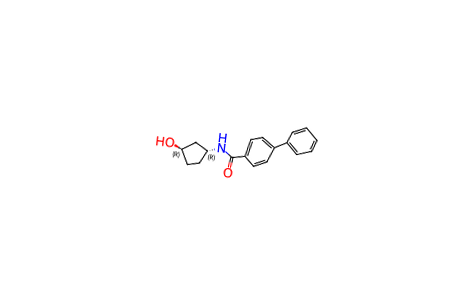 O=C(N[C@@H]1CC[C@@H](O)C1)c1ccc(-c2ccccc2)cc1